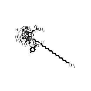 CCCCCCCCCCCCCCCCCC(=O)OCC(COC1OC(CSC(C)=O)C(O[Si](C)(C)C(C)(C)C)C(O[Si](C)(C)C(C)(C)C)C1O[Si](C)(C)C(C)(C)C)OC(=O)c1ccc(I)cc1